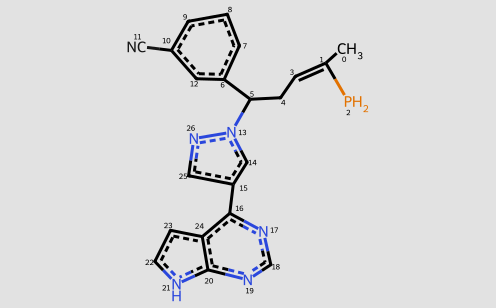 C/C(P)=C/CC(c1cccc(C#N)c1)n1cc(-c2ncnc3[nH]ccc23)cn1